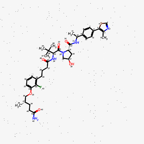 Cc1ncsc1-c1ccc([C@H](C)NC(=O)[C@@H]2C[C@@H](O)CN2C(=O)[C@@H](NC(=O)CCCc2cccc(OC[C@@H](C)CCC(N)=O)c2F)C(C)(C)C)cc1